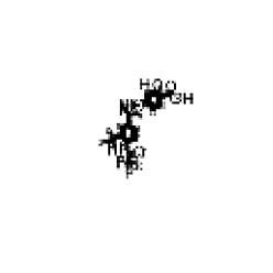 CC(C)(C)c1cc(C(COc2ccc(C(=O)O)c(O)c2)=NO)ccc1NC(=O)C(F)(F)F